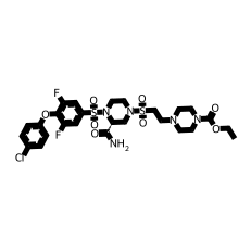 CCOC(=O)N1CCN(CCS(=O)(=O)N2CCN(S(=O)(=O)c3cc(F)c(Oc4ccc(Cl)cc4)c(F)c3)[C@@H](C(N)=O)C2)CC1